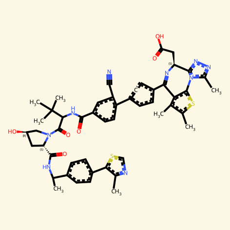 Cc1ncsc1-c1ccc(C(C)NC(=O)[C@@H]2C[C@@H](O)CN2C(=O)C(NC(=O)c2ccc(-c3ccc(C4=N[C@@H](CC(=O)O)c5nnc(C)n5-c5sc(C)c(C)c54)cc3)c(C#N)c2)C(C)(C)C)cc1